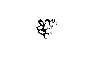 C[C@H](O)Cn1ccc2c1-c1cc(Cl)c(Cl)cc1C2